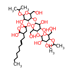 CCCCCC/C=C/CC(CC(=O)O[C@@H]1C(O)[C@@H](OC(C)C)OC(CO)[C@H]1O[C@H]1OC(CO)[C@@H](O[C@H]2OC(CO)[C@@H](OC(C)C)[C@H](O)C2O)[C@H](O)C1O)C(=O)O